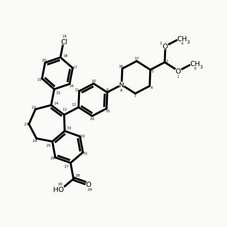 COC(OC)C1CCN(c2ccc(C3=C(c4ccc(Cl)cc4)CCCc4cc(C(=O)O)ccc43)cc2)CC1